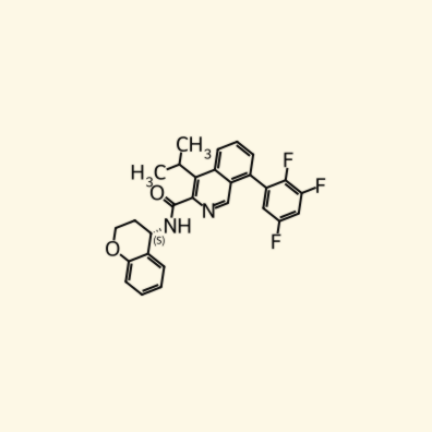 CC(C)c1c(C(=O)N[C@H]2CCOc3ccccc32)ncc2c(-c3cc(F)cc(F)c3F)cccc12